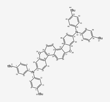 CC(C)(C)c1ccc(N(c2ccc(C(C)(C)C)cc2)c2ccc3c(c2)oc2ccc4c(ccc5oc6cc(N(c7ccc(C(C)(C)C)cc7)c7ccc(C(C)(C)C)cc7)ccc6c54)c23)cc1